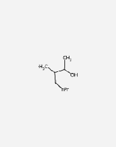 [CH2]C(CCCC)C(C)O